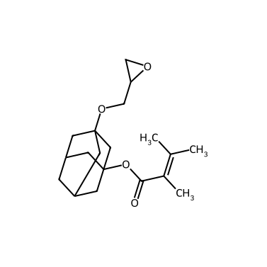 CC(C)=C(C)C(=O)OC12CC3CC(CC(OCC4CO4)(C3)C1)C2